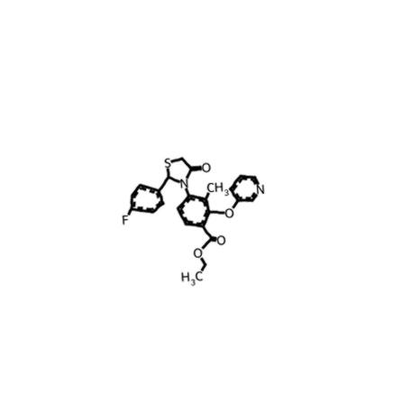 CCOC(=O)c1ccc(N2C(=O)CSC2c2ccc(F)cc2)c(C)c1Oc1cccnc1